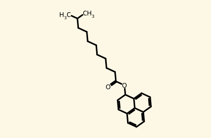 CC(C)CCCCCCCCC(=O)OC1C=Cc2cccc3cccc1c23